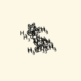 CC(C)c1ccc(N(c2ccc3c4cc(C(C)(C)C)cc5c6cc7c(cc6n(c3c2)c45)c2cc(C(C)(C)C)cc3c4cc(C(C)(C)C)ccc4n7c32)c2cccc3c2oc2c(-c4ccccc4)cc(CC(C)(C)c4ccc5c(c4)c4cc(C(C)(C)C)cc6c7cc8c(cc7n5c46)c4cc(C(C)(C)C)cc5c6ccc(N(c7ccccc7)c7cc9c%10ccccc%10n%10c%11ccccc%11c(c7)c9%10)cc6n8c54)cc23)cc1